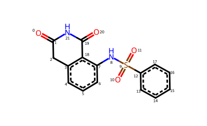 O=C1Cc2cccc(NS(=O)(=O)c3ccccc3)c2C(=O)N1